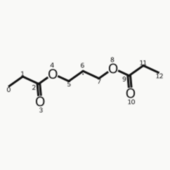 CCC(=O)OC[CH]COC(=O)CC